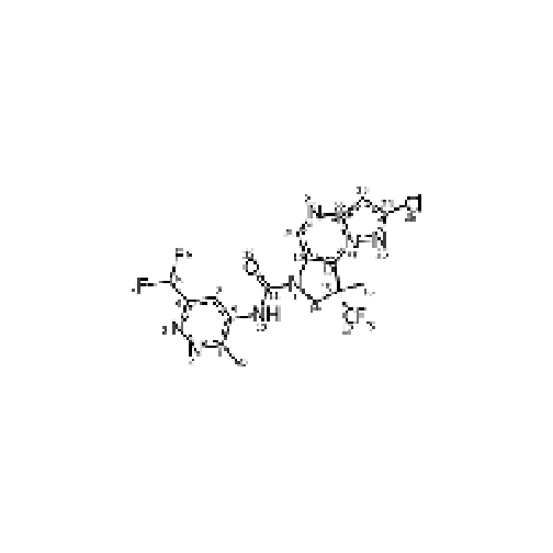 Cc1nnc(C(F)F)cc1NC(=O)N1C[C@@](C)(C(F)(F)F)c2c1cnc1cc(Cl)nn21